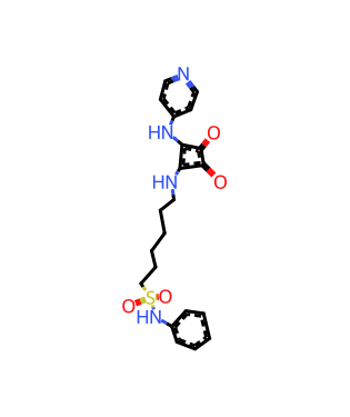 O=c1c(NCCCCCCS(=O)(=O)Nc2ccccc2)c(Nc2ccncc2)c1=O